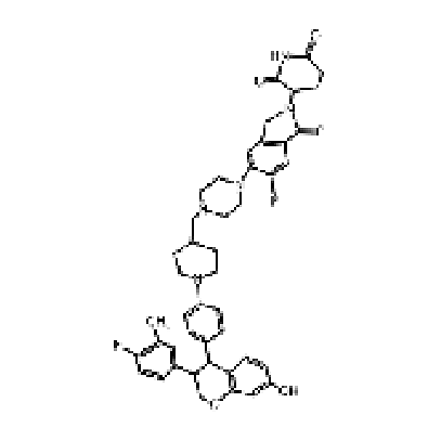 Cc1cc(C2COc3cc(O)ccc3C2c2ccc(N3CCC(CN4CCN(c5cc6c(cc5F)C(=O)N(C5CCC(=O)NC5=O)C6)CC4)CC3)cc2)ccc1F